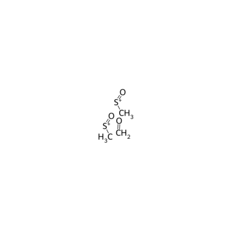 C=O.C[S+]=O.C[S+]=O